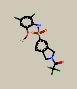 COc1cc(F)cc(F)c1NS(=O)(=O)c1ccc2c(c1)CN(C(=O)C(F)(F)F)C2